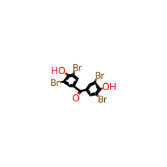 O=C(c1cc(Br)c(O)c(Br)c1)c1cc(Br)c(O)c(Br)c1